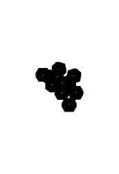 c1ccc(-c2cccc(-n3c4ccccc4c4c(-c5ccccc5-n5c6ccccc6c6ccccc65)cccc43)c2-c2ccccc2)cc1